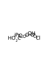 Cc1cc(Cl)ccc1OCC(O)COc1ccc(CC(OC(C)C)C(=O)O)cc1